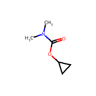 CN(C)C(=O)OC1[CH]C1